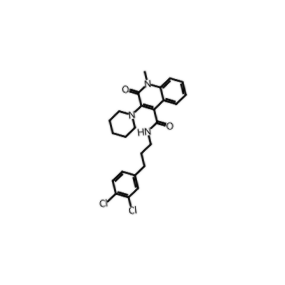 Cn1c(=O)c(N2CCCCC2)c(C(=O)NCCCc2ccc(Cl)c(Cl)c2)c2ccccc21